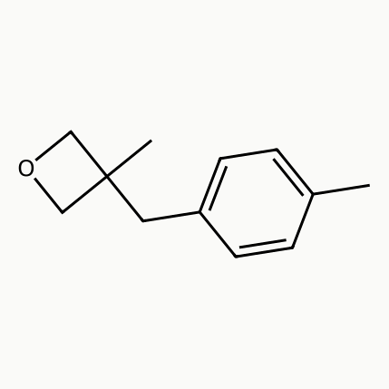 Cc1ccc(CC2(C)COC2)cc1